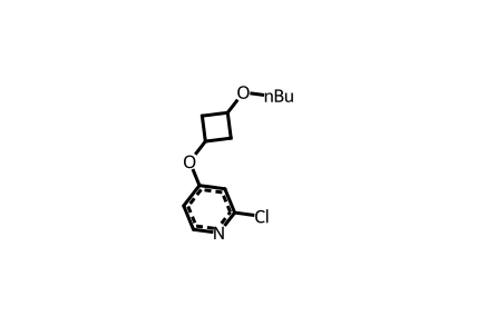 CCCCOC1CC(Oc2ccnc(Cl)c2)C1